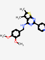 COc1ccc(CNc2nc(-c3ccncc3)nc3sc(C)c(C)c23)cc1OC